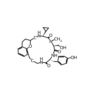 CN1C(=O)[C@H](C2CC2)NCC2CCc3cccc(c3O2)CCCNC(=O)[C@@H](Cc2ccc(O)cc2)NC(=O)[C@@H]1CO